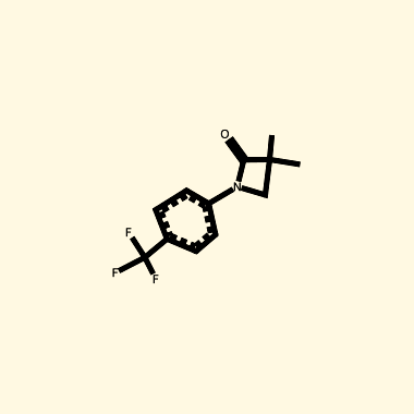 CC1(C)CN(c2[c]cc(C(F)(F)F)cc2)C1=O